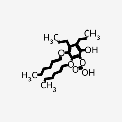 CCCCCCOc1c(CCC)c(CCC)c(O)c(OC(=O)O)c1OCCCCCC